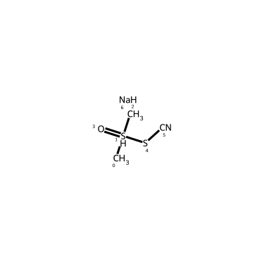 C[SH](C)(=O)SC#N.[NaH]